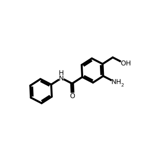 Nc1cc(C(=O)Nc2ccccc2)ccc1CO